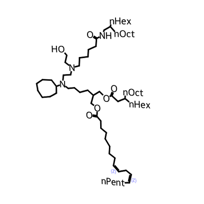 CCCCC/C=C\C/C=C\CCCCCCCC(=O)OCC(CCCCN(CCN(CCO)CCCCCC(=O)NCC(CCCCCC)CCCCCCCC)C1CCCCCCC1)COC(=O)CC(CCCCCC)CCCCCCCC